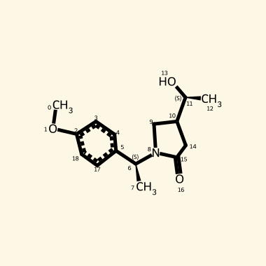 COc1ccc([C@H](C)N2CC([C@H](C)O)CC2=O)cc1